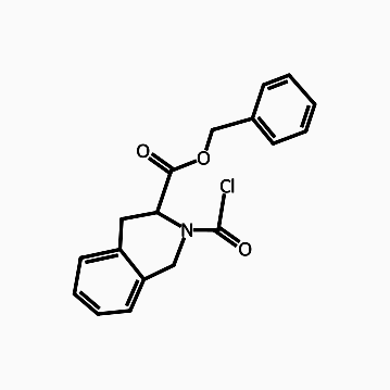 O=C(OCc1ccccc1)C1Cc2ccccc2CN1C(=O)Cl